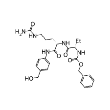 CC[C@H](NC(=O)OCc1ccccc1)C(=O)N[C@@H](CCCNC(N)=O)C(=O)Nc1ccc(CO)cc1